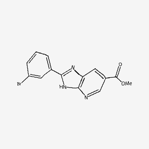 COC(=O)c1cnc2[nH]c(-c3cccc(Br)c3)nc2c1